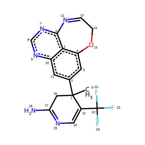 CC1(c2cc3c4c(ncnc4c2)N=CCO3)CC(N)=NC=C1C(F)(F)F